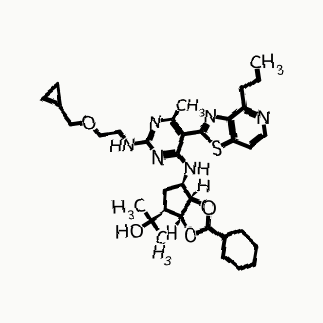 CCCc1nccc2sc(-c3c(C)nc(NCCOCC4CC4)nc3N[C@@H]3C[C@H](C(C)(C)O)[C@H]4OC(C5CCCCC5)O[C@H]43)nc12